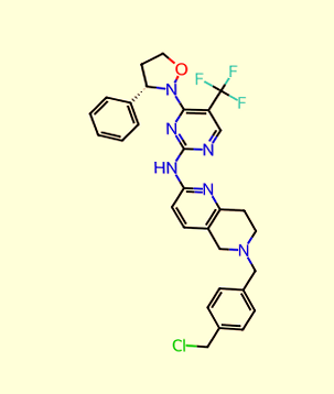 FC(F)(F)c1cnc(Nc2ccc3c(n2)CCN(Cc2ccc(CCl)cc2)C3)nc1N1OCC[C@H]1c1ccccc1